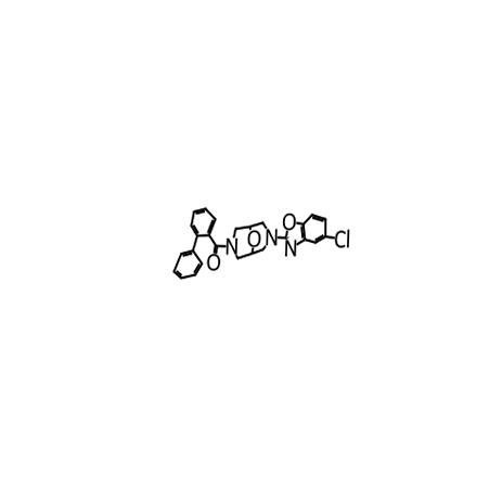 O=C(c1ccccc1-c1ccccc1)N1CC2CN(c3nc4cc(Cl)ccc4o3)CC(C1)O2